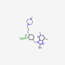 CCc1nc2c(C)cc(C)nc2n1Cc1ccc(CCCN2CCN(C)CC2)cc1.Cl.Cl